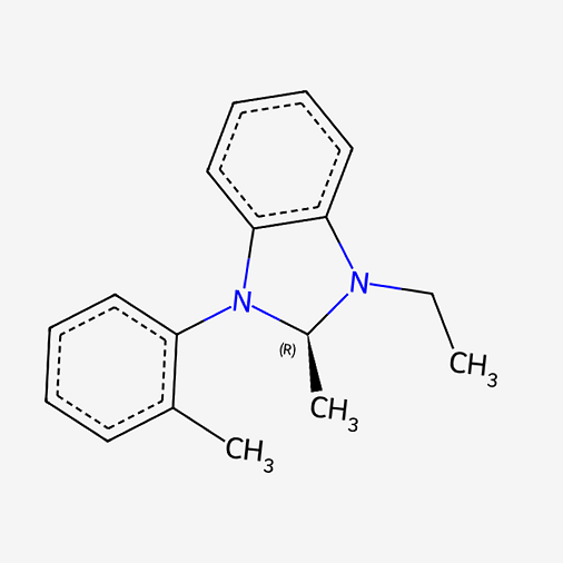 CCN1c2ccccc2N(c2ccccc2C)[C@@H]1C